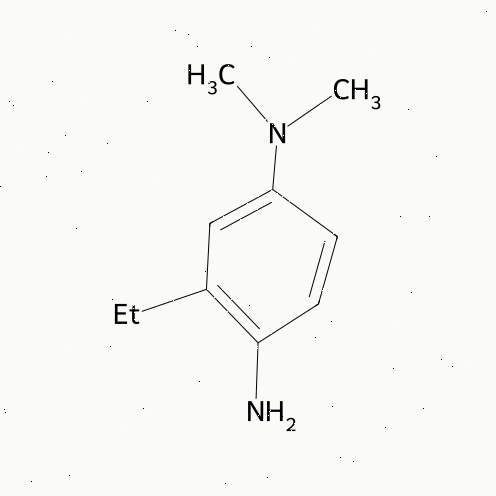 CCc1cc(N(C)C)ccc1N